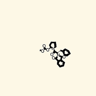 COC(=O)O[C@H]1CCC=CN1C(=O)[C@H](Cc1ccccc1)N1C(=O)c2ccccc2C1=O